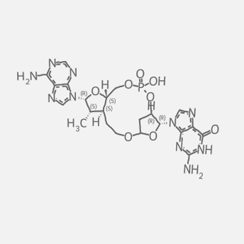 C[C@H]1[C@@H]2CCOC3C[C@@H](OP(=O)(O)OC[C@H]2O[C@H]1n1cnc2c(N)ncnc21)[C@H](n1cnc2c(=O)[nH]c(N)nc21)O3